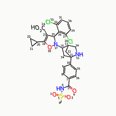 CS(=O)(=O)NC(=O)c1ccc(C23CC(CN2)C(N2OC(C4CC4)=C(C(=O)O)C2c2c(Cl)cccc2Cl)C3)cc1